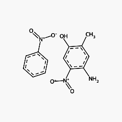 Cc1cc(N)c([N+](=O)[O-])cc1O.O=[N+]([O-])c1ccccc1